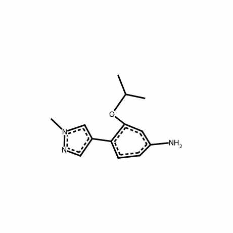 CC(C)Oc1cc(N)ccc1-c1cnn(C)c1